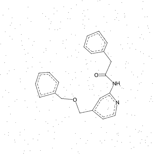 O=C(Cc1ccccc1)Nc1cc(COCc2ccccc2)ccn1